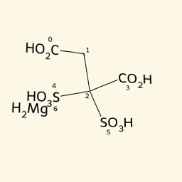 O=C(O)CC(C(=O)O)(S(=O)(=O)O)S(=O)(=O)O.[MgH2]